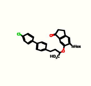 CCCCCCc1cc2c(cc1OC(CCc1ccc(-c3ccc(Cl)cc3)cc1)C(=O)O)C(=O)CC2